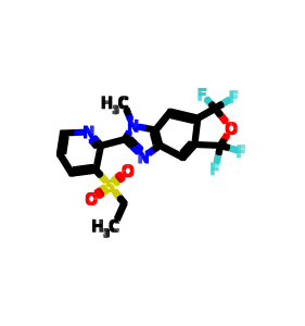 CCS(=O)(=O)c1cccnc1-c1nc2cc3c(cc2n1C)C(F)(F)OC3(F)F